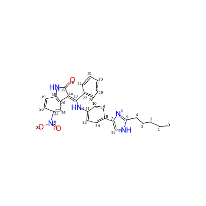 CCCCCc1nc(-c2ccc(NC(=C3C(=O)Nc4ccc([N+](=O)[O-])cc43)c3ccccc3)cc2)c[nH]1